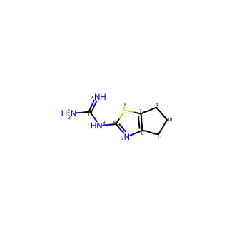 N=C(N)Nc1nc2c(s1)CCC2